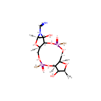 C[C@@H]1O[C@@H]2CO[P@](=O)(S)OC3[C@@H](CO[P@](=O)(S)O[C@@H]2C1O)O[C@H]1N(C=N)C31O